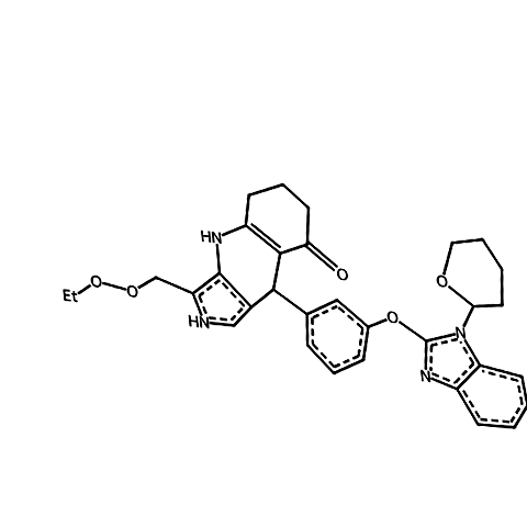 CCOOCc1[nH]cc2c1NC1=C(C(=O)CCC1)C2c1cccc(Oc2nc3ccccc3n2C2CCCCO2)c1